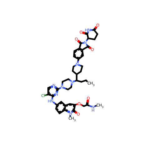 CCCC(C1CCN(c2ccc3c(c2)C(=O)N(C2CCC(=O)NC2=O)C3=O)CC1)N1CCN(c2ncc(Cl)c(Nc3ccc4c(c3)cc(OCC(=O)NC)c(=O)n4C)n2)CC1